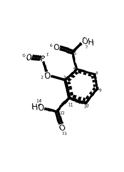 O=POc1c(C(=O)O)cccc1C(=O)O